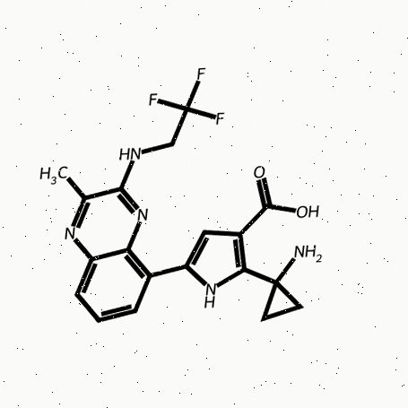 Cc1nc2cccc(-c3cc(C(=O)O)c(C4(N)CC4)[nH]3)c2nc1NCC(F)(F)F